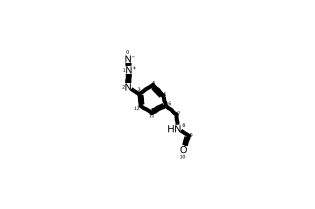 [N-]=[N+]=Nc1ccc(CNC=O)cc1